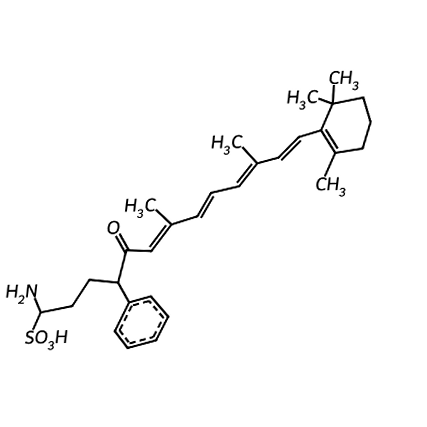 CC1=C(/C=C/C(C)=C/C=C/C(C)=C/C(=O)C(CCC(N)S(=O)(=O)O)c2ccccc2)C(C)(C)CCC1